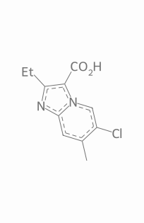 CCc1nc2cc(C)c(Cl)cn2c1C(=O)O